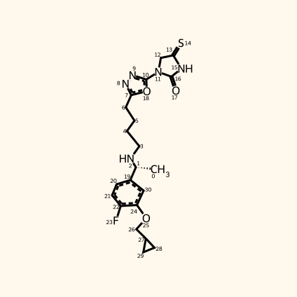 C[C@@H](NCCCCc1nnc(N2CC(=S)NC2=O)o1)c1ccc(F)c(OCC2CC2)c1